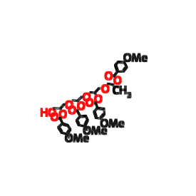 COc1ccc(C(=O)OC(C)COCC(COCC(COCC(CO)OC(=O)c2ccc(OC)cc2)OC(=O)c2ccc(OC)cc2)OC(=O)c2ccc(OC)cc2)cc1